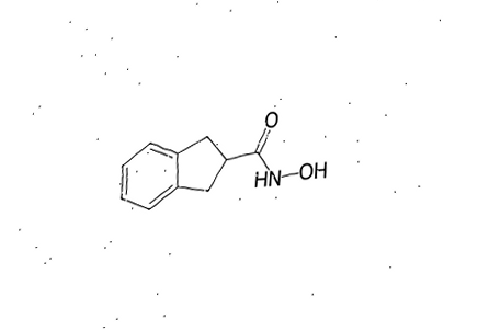 O=C(NO)C1Cc2ccccc2C1